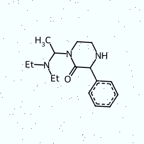 CCN(CC)C(C)N1CCNC(c2ccccc2)C1=O